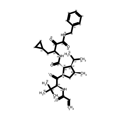 C=CC(=O)N[C@H](C(=O)N1C[C@H](C)[C@H](C(C)C)[C@H]1C(=O)NC(CC1CC1)C(=O)C(=O)NCc1ccccc1)C(C)(C)C